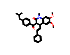 COc1cc2c(cc1OC)N(C)C(=O)C(C(=O)c1ccc(CC(C)C)cc1)C2C=Cc1ccccc1